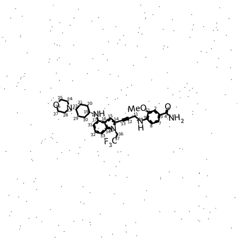 COc1cc(C(N)=O)ccc1NCC#Cc1cc2c(N[C@H]3CC[C@@H](N4CCOCC4)CC3)cccc2n1CC(F)(F)F